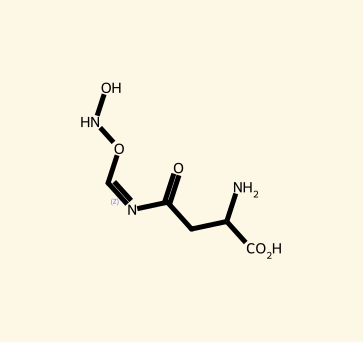 NC(CC(=O)/N=C\ONO)C(=O)O